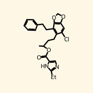 CCc1ncc(C(=O)OC(C)CCc2c(Cl)cc3c(c2CCc2ccccc2)OCO3)[nH]1